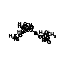 Cc1ncsc1-c1ccc(CNC(=O)[C@@H]2CCCN2C(=O)[C@@H](NC(=O)COCCCOCCCOc2cc(F)c(C3c4[nH]c5ccccc5c4CCN3CC(C)(C)F)c(F)c2)C(C)(C)C)cc1